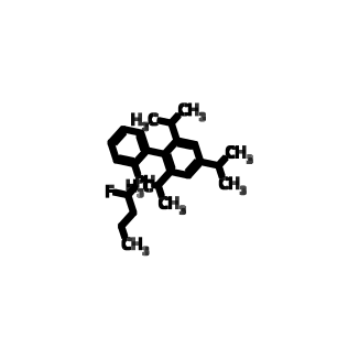 CCCC(F)Pc1ccccc1-c1c(C(C)C)cc(C(C)C)cc1C(C)C